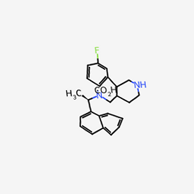 C[C@H](c1cccc2ccccc12)N(CC1CCNCC1c1cccc(F)c1)C(=O)O